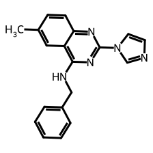 Cc1ccc2nc(-n3ccnc3)nc(NCc3ccccc3)c2c1